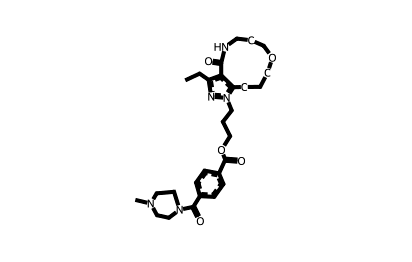 CCc1nn(CCCOC(=O)c2ccc(C(=O)N3CCN(C)CC3)cc2)c2c1C(=O)NCCCOCCC2